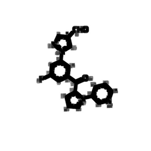 O=Cc1cnn(-c2cc(F)cc(C(=O)c3cccn3-c3cccnc3)c2)c1